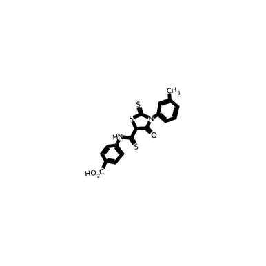 Cc1cccc(N2C(=O)C(C(=S)Nc3ccc(C(=O)O)cc3)SC2=S)c1